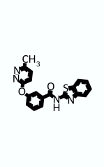 Cc1ccc(Oc2cccc(C(=O)Nc3nc4ccccc4s3)c2)nn1